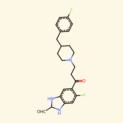 O=CC1Nc2cc(F)c(C(=O)CCN3CCC(Cc4ccc(F)cc4)CC3)cc2N1